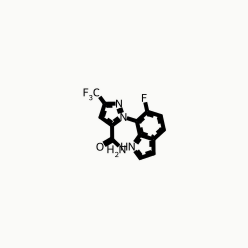 NC(=O)c1cc(C(F)(F)F)nn1-c1c(F)ccc2cc[nH]c12